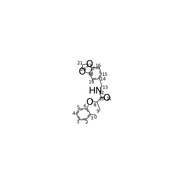 Cc1ccccc1OC(C)C(=O)NCc1ccc2c(c1)OCO2